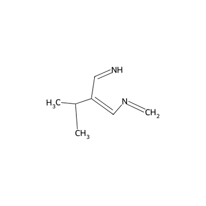 C=N/C=C(\C=N)C(C)C